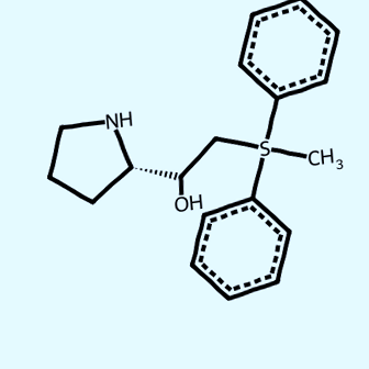 CS(CC(O)[C@@H]1CCCN1)(c1ccccc1)c1ccccc1